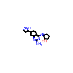 Nc1nc(N[C@H]2CCC[C@H]2O)c2ccc(-c3ccn[nH]3)cc2n1